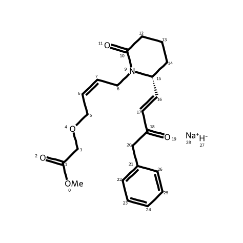 COC(=O)COC/C=C\CN1C(=O)CCC[C@@H]1/C=C/C(=O)Cc1ccccc1.[H-].[Na+]